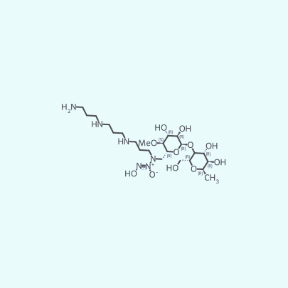 CO[C@H]1[C@H](O)[C@@H](O)[C@@H](OC2[C@@H](CO)O[C@H](C)[C@H](O)[C@H]2O)O[C@@H]1CN(CCCNCCCNCCCN)/[N+]([O-])=N/O